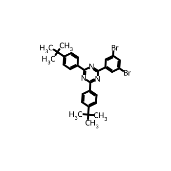 CC(C)(C)c1ccc(-c2nc(-c3ccc(C(C)(C)C)cc3)nc(-c3cc(Br)cc(Br)c3)n2)cc1